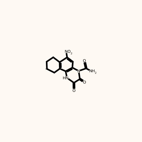 NC(=O)n1c(=O)c(=O)[nH]c2c3c(c([N+](=O)[O-])cc21)CC[C]C3